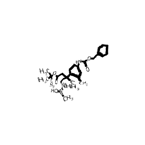 CB(O)NCC(C)(CC(=O)OC(C)(C)C)c1ccc(NC(=O)OCc2ccccc2)cc1C